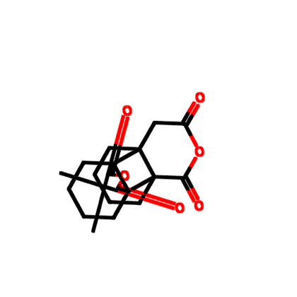 O=C1CC23CCCCC2(C(=O)O1)C12CCCCC31C(=O)OC2=O